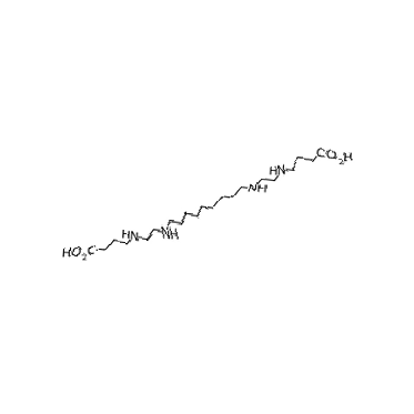 O=C(O)CCCNCCNCCCCCCCCCNCCNCCCC(=O)O